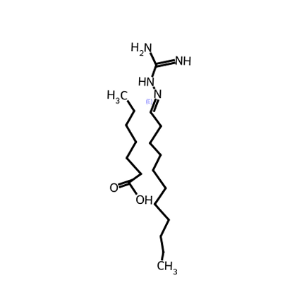 CCCCCCC(=O)O.CCCCCCCCCC/C=N/NC(=N)N